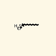 CCCCCCCCCCCC(C)(C)[SiH2]CCl